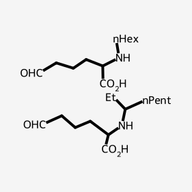 CCCCCC(CC)NC(CCCC=O)C(=O)O.CCCCCCNC(CCCC=O)C(=O)O